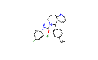 CC(C)(C)c1ccc(C2c3cccnc3CCCN2C(=O)Nc2ccc(F)cc2F)cc1